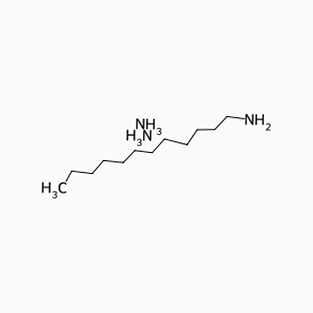 CCCCCCCCCCCCN.N.N